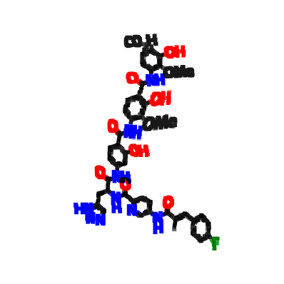 COc1c(NC(=O)c2ccc(NC(=O)c3ccc(NC(=O)[C@H](Cc4cnn[nH]4)NC(=O)c4ccc(NC(=O)/C(C)=C/c5ccc(F)cc5)cn4)cc3O)c(OC)c2O)ccc(C(=O)O)c1O